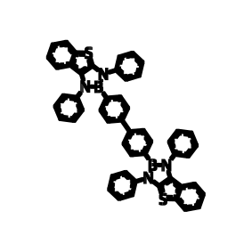 c1ccc(N2B(c3ccc(-c4ccc(B5N(c6ccccc6)c6sc7ccccc7c6N5c5ccccc5)cc4)cc3)N(c3ccccc3)c3c2sc2ccccc32)cc1